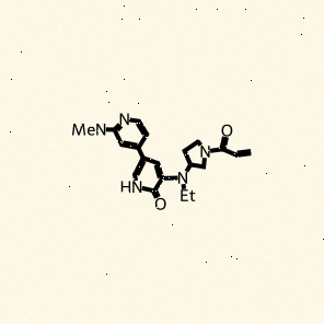 C=CC(=O)N1CCC(N(CC)c2cc(-c3ccnc(NC)c3)c[nH]c2=O)C1